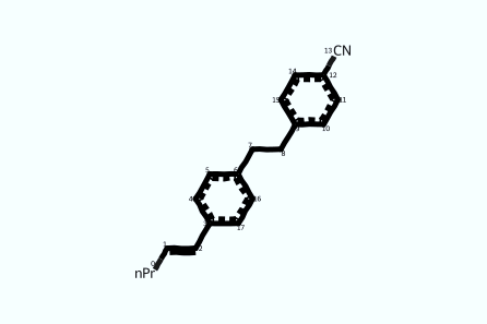 CCCC=Cc1ccc(CCc2ccc(C#N)cc2)cc1